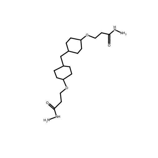 NNC(=O)CCOC1CCC(CC2CCC(OCCC(=O)NN)CC2)CC1